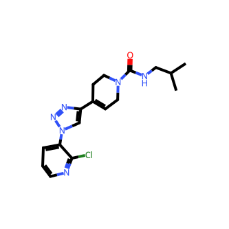 CC(C)CNC(=O)N1CC=C(c2cn(-c3cccnc3Cl)nn2)CC1